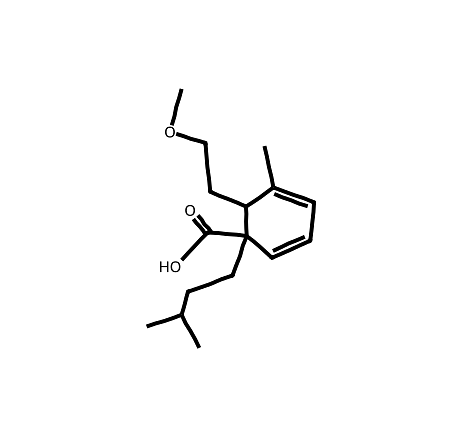 COCCC1C(C)=CC=CC1(CCC(C)C)C(=O)O